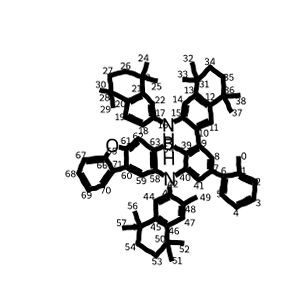 Cc1ccccc1-c1cc(-c2cc3c(cc2Nc2ccc4c(c2)C(C)(C)CCC4(C)C)C(C)(C)CCC3(C)C)c2c(c1)N(c1cc3c(cc1C)C(C)(C)CCC3(C)C)c1cc3c(cc1B2)oc1ccccc13